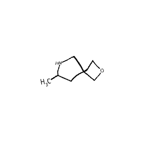 CC1CC2(CN1)COC2